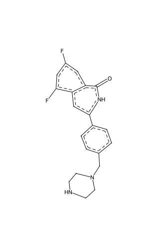 O=c1[nH]c(-c2ccc(CN3CCNCC3)cc2)cc2c(F)cc(F)cc12